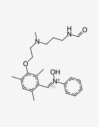 Cc1cc(C)c(OCCN(C)CCCNC=O)c(C)c1/C=[N+](\O)c1ccccc1